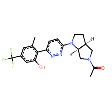 CC(=O)N1C[C@@H]2CCN(c3ccc(-c4c(C)cc(C(F)(F)F)cc4O)nn3)[C@@H]2C1